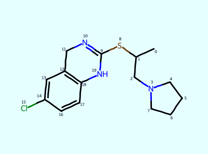 CC(CN1CCCC1)SC1=NCc2cc(Cl)ccc2N1